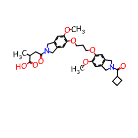 COc1cc2c(cc1OCCCOc1cc3c(cc1OC)CN(C(=O)C1CCC1)C3)CN(C(=O)CC(C)C(=O)O)C2